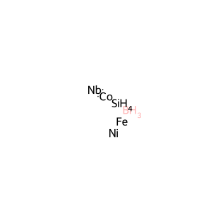 B.[Co].[Fe].[Nb].[Ni].[SiH4]